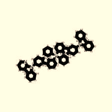 c1ccc([Si](c2ccccc2)(c2cccc3c2oc2ccc(-n4c5ccccc5c5cccnc54)cc23)c2cccc3c2sc2ccc(-n4c5ccccc5c5ccccc54)cc23)cc1